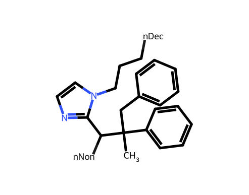 CCCCCCCCCCCCCn1ccnc1C(CCCCCCCCC)C(C)(Cc1ccccc1)c1ccccc1